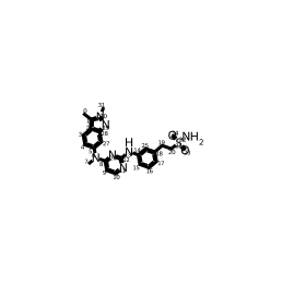 Cc1c2ccc(N(C)c3ccnc(Nc4cccc(CCS(N)(=O)=O)c4)n3)cc2nn1C